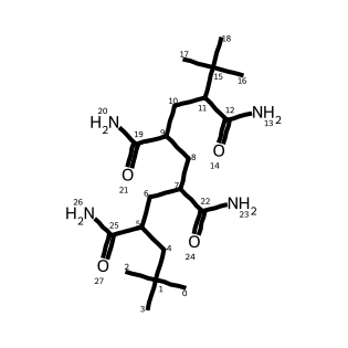 CC(C)(C)CC(CC(CC(CC(C(N)=O)C(C)(C)C)C(N)=O)C(N)=O)C(N)=O